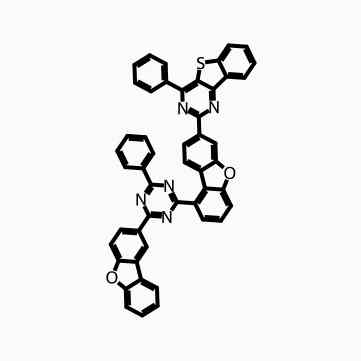 c1ccc(-c2nc(-c3ccc4oc5ccccc5c4c3)nc(-c3cccc4oc5cc(-c6nc(-c7ccccc7)c7sc8ccccc8c7n6)ccc5c34)n2)cc1